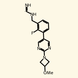 COC1CN(c2ncc(-c3cccc(CN[C]=N)c3F)cn2)C1